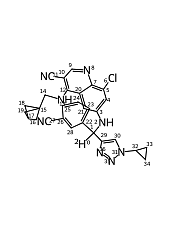 [2H]C(Nc1cc(Cl)c2ncc(C#N)c(NCC34CC(C3)C4)c2c1)(c1cccc(C#N)c1)c1cn(C2CC2)nn1